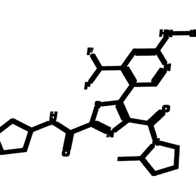 CC1CCCN1C(=O)c1nc(C(=O)NC2CCCC2)sc1-c1cnc(NC(C)(C)C)cc1C(F)F